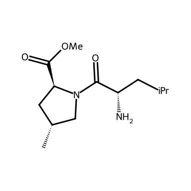 COC(=O)[C@@H]1C[C@@H](C)CN1C(=O)[C@@H](N)CC(C)C